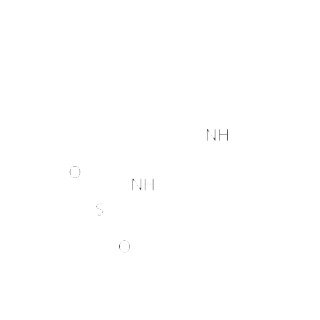 CS(=O)(=O)Nc1ccccc1Nc1ccccc1